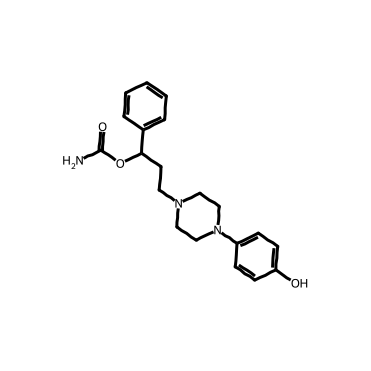 NC(=O)OC(CCN1CCN(c2ccc(O)cc2)CC1)c1ccccc1